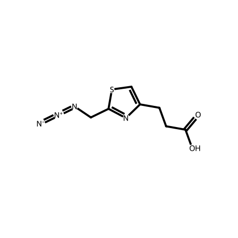 [N-]=[N+]=NCc1nc(CCC(=O)O)cs1